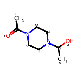 C[C](O)N1CCN(C(C)=O)CC1